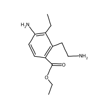 CCOC(=O)c1ccc(N)c(CC)c1CCN